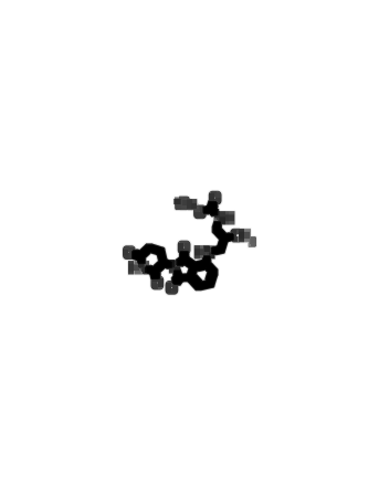 CC(CNC(=O)OC(C)(C)C)CNc1cccc2c1C(=O)N(C1CCC(=O)NC1=O)C2=O